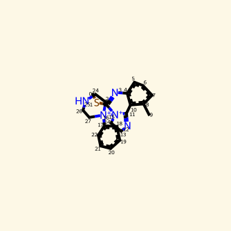 CSC1=Nc2cccc(C)c2C2=NCC[N+]12[N+]1(c2ccccc2)CCNCC1